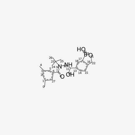 Cc1cc(C)cc(C(=O)N(NC(O)c2ccc3c(c2)B(O)OC3)C(C)(C)C)c1